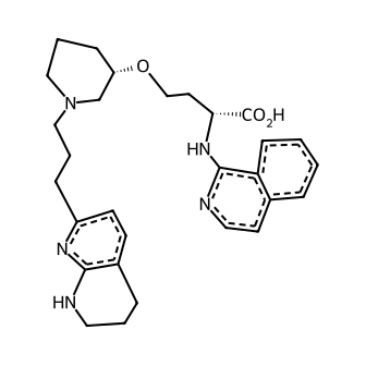 O=C(O)[C@@H](CCO[C@H]1CCCN(CCCc2ccc3c(n2)NCCC3)C1)Nc1nccc2ccccc12